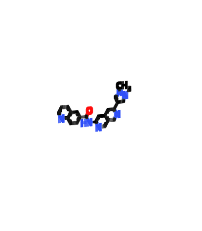 Cn1cc(-c2cc3cc(NC(=O)c4ccc5ncccc5c4)ncc3cn2)cn1